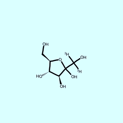 [2H]C([2H])(O)C1(O)O[C@H](CO)[C@@H](O)[C@@H]1O